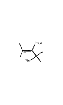 CCCCC(C)(C)C(C(=O)O)=C(C)C